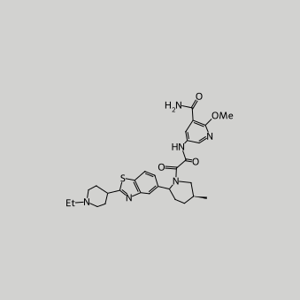 CCN1CCC(c2nc3cc(C4CC[C@H](C)CN4C(=O)C(=O)Nc4cnc(OC)c(C(N)=O)c4)ccc3s2)CC1